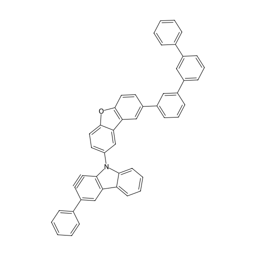 c1c(-c2ccccc2)cc2c3ccccc3n(-c3ccc4oc5ccc(-c6cccc(-c7cccc(-c8ccccc8)c7)c6)cc5c4c3)c2c#1